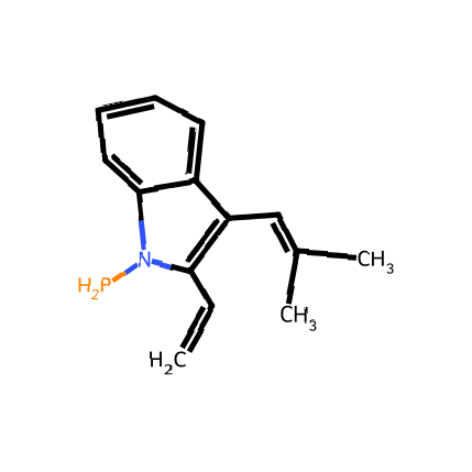 C=Cc1c(C=C(C)C)c2ccccc2n1P